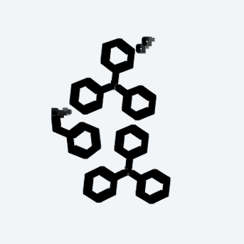 [Cl-].[Cl-].[Ru+2]=[CH]c1ccccc1.c1ccc(P(c2ccccc2)c2ccccc2)cc1.c1ccc(P(c2ccccc2)c2ccccc2)cc1